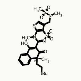 CN1C(C2=C(O)c3ccccc3[C@@](C)(CCC(C)(C)C)C2=O)=NS(=O)(=O)c2c(CN(C)S(C)(=O)=O)csc21